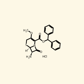 COC1=C(C(=O)OC(c2ccccc2)c2ccccc2)N2C(=O)[C@@H](N)[C@H]2SC1.Cl